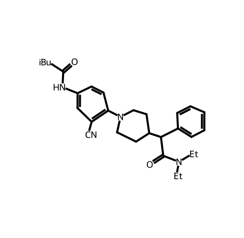 CCC(C)C(=O)Nc1ccc(N2CCC(C(C(=O)N(CC)CC)c3ccccc3)CC2)c(C#N)c1